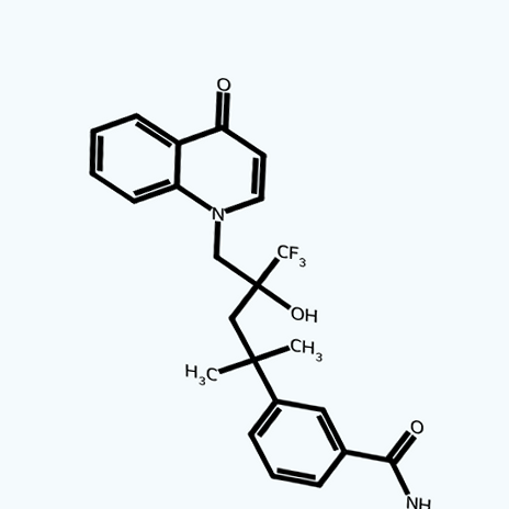 CC(C)(CC(O)(Cn1ccc(=O)c2ccccc21)C(F)(F)F)c1cccc(C(N)=O)c1